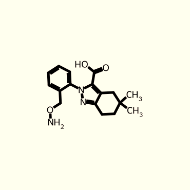 CC1(C)CCc2nn(-c3ccccc3CON)c(C(=O)O)c2C1